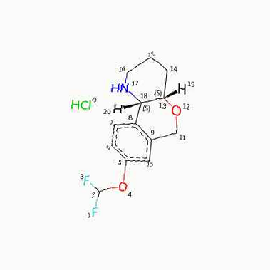 Cl.FC(F)Oc1ccc2c(c1)CO[C@H]1CCCN[C@@H]21